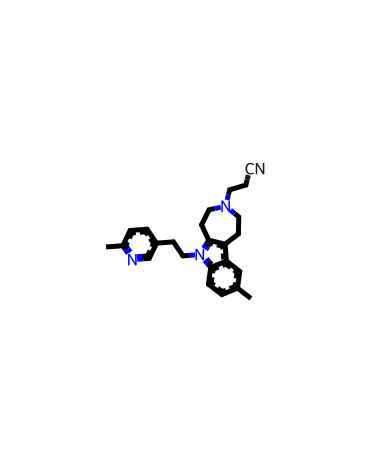 Cc1ccc2c(c1)c1c(n2CCc2ccc(C)nc2)CCN(CCC#N)CC1